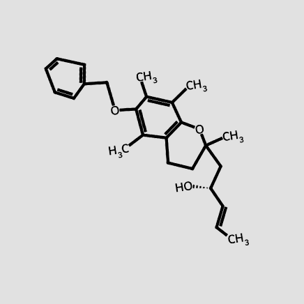 C/C=C/[C@H](O)CC1(C)CCc2c(C)c(OCc3ccccc3)c(C)c(C)c2O1